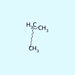 CCCCCCCCCCC(CC)CCC